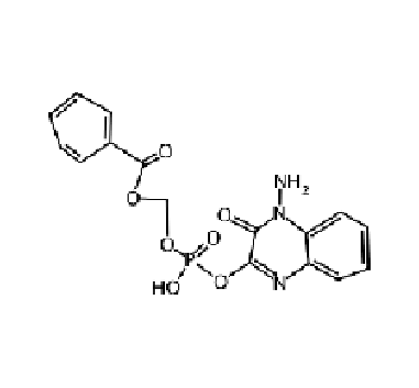 Nn1c(=O)c(OP(=O)(O)OCOC(=O)c2ccccc2)nc2ccccc21